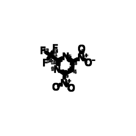 O=[N+]([O-])c1cc([N+](=O)[O-])nc(C(F)(F)F)n1